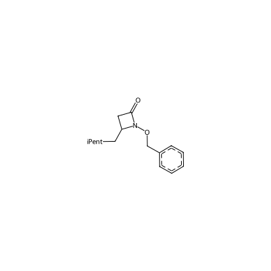 CCCC(C)CC1CC(=O)N1OCc1ccccc1